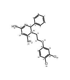 NC1=NC(c2ccccc2)N(CCOc2ccc(Cl)c(Cl)c2)C(N)=N1